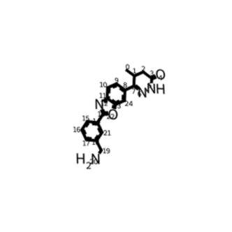 CC1CC(=O)NN=C1c1ccc2nc(-c3cccc(CN)c3)oc2c1